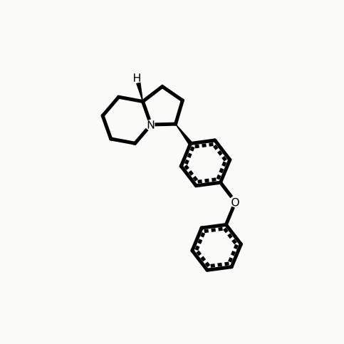 c1ccc(Oc2ccc([C@@H]3CC[C@H]4CCCCN43)cc2)cc1